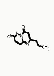 CCCc1cc(=O)n2nc(Cl)ccc2n1